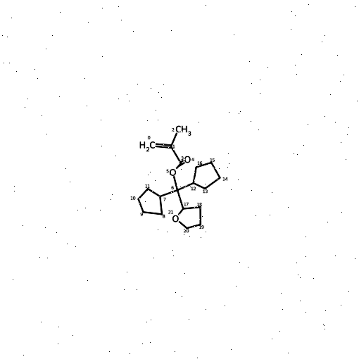 C=C(C)C(=O)OC(C1CCCC1)(C1CCCC1)C1CCCO1